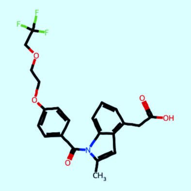 Cc1cc2c(CC(=O)O)cccc2n1C(=O)c1ccc(OCCOCC(F)(F)F)cc1